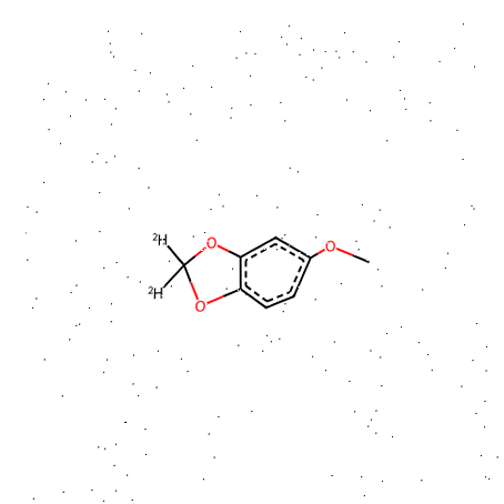 [2H]C1([2H])Oc2ccc(OC)cc2O1